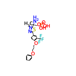 CC(N)(COP(=O)(O)O)c1nnc(-c2ccc(OCCCOc3ccccc3)c(C(F)(F)F)c2)s1